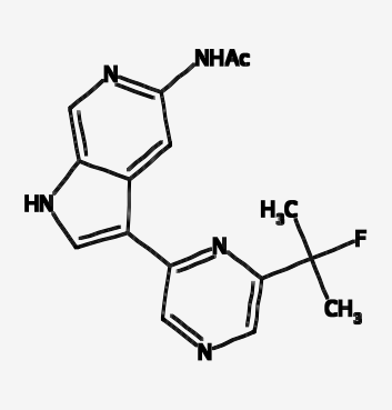 CC(=O)Nc1cc2c(-c3cncc(C(C)(C)F)n3)c[nH]c2cn1